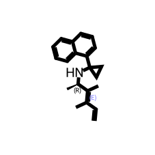 C=C/C(C)=C(\C)[C@@H](C)NC1(c2cccc3ccccc23)CC1